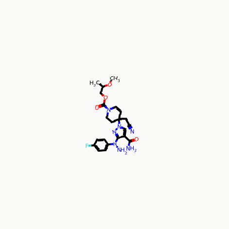 COC(C)COC(=O)N1CCC(CC#N)(n2cc(C(N)=O)c(N(N)c3ccc(F)cc3)n2)CC1